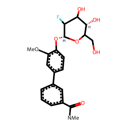 CNC(=O)c1cccc(-c2ccc(O[C@H]3OC(CO)[C@@H](O)C(O)C3F)c(OC)c2)c1